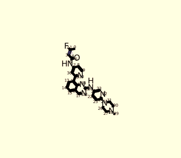 C/C(F)=C\C(=O)Nc1ccnc(-c2cccc3cnc(Nc4ccc(N5CCN(C)CC5)nc4)nc23)c1